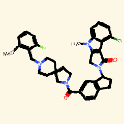 COc1cccc(F)c1CN1CCC2(CC1)CCN(C(=O)c1ccc3c(c1)C(N1Cc4c(c5c(Cl)cccc5n4C)C1=O)CC3)C2